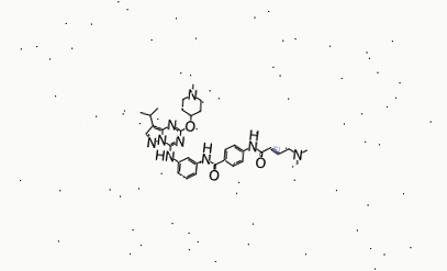 CC(C)c1cnn2c(Nc3cccc(NC(=O)c4ccc(NC(=O)/C=C/CN(C)C)cc4)c3)nc(OC3CCN(C)CC3)nc12